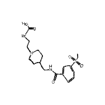 CS(=O)(=O)c1cccc(C(=O)NCC2CCN(CCNC(=O)O)CC2)c1